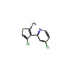 Cc1scc(Cl)c1-c1cc(Cl)ccn1